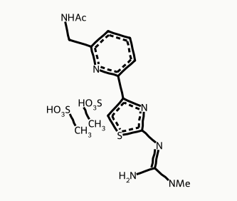 CN/C(N)=N/c1nc(-c2cccc(CNC(C)=O)n2)cs1.CS(=O)(=O)O.CS(=O)(=O)O